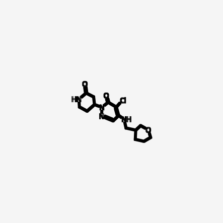 O=C1CC(n2ncc(NCC3CCCOC3)c(Cl)c2=O)CCN1